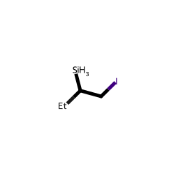 CCC([SiH3])CI